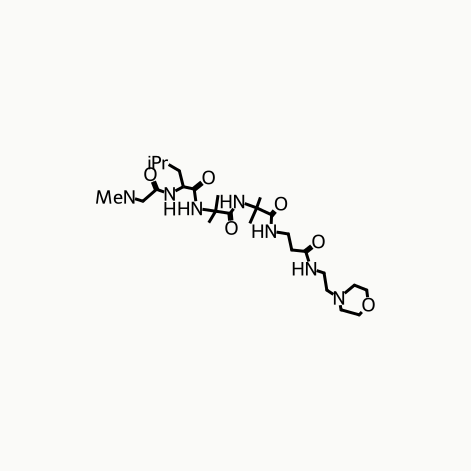 CNCC(=O)NC(CC(C)C)C(=O)NC(C)(C)C(=O)NC(C)(C)C(=O)NCCC(=O)NCCN1CCOCC1